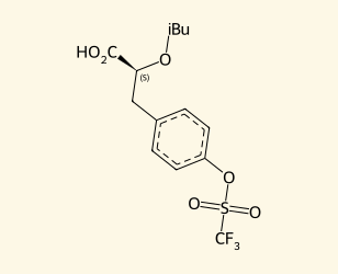 CCC(C)O[C@@H](Cc1ccc(OS(=O)(=O)C(F)(F)F)cc1)C(=O)O